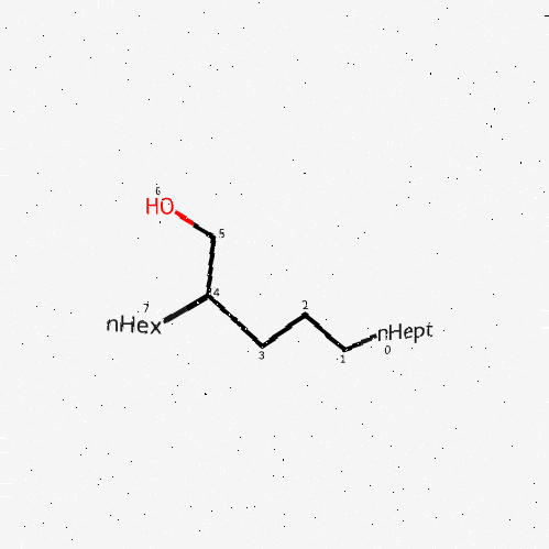 CCCCCCCCCCC(CO)CCCCCC